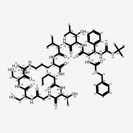 CC[C@H](C)[C@H](NC(=O)[C@@H](CCCNC(=N)N)NC(=O)[C@@H](NC(=O)C(NC(=O)[C@@H](NC(=O)OCc1ccccc1)[C@H](NC(=O)OC(C)(C)C)c1ccccc1)[C@H](O)C(C)C)C(C)C)C(=O)N[C@H](C(=O)NCC(=O)N[C@@H](CO)C(=O)N[C@@H](CO)C(=O)O)[C@H](C)O